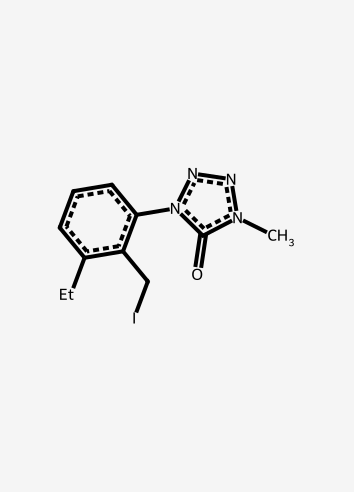 CCc1cccc(-n2nnn(C)c2=O)c1CI